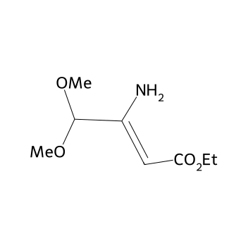 CCOC(=O)/C=C(\N)C(OC)OC